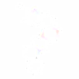 CCCCC1CCc2ccccc2N1CC1COc2ccc3nc(C)ccc3c2O1